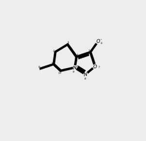 CC1CCc2c([O-])on[n+]2C1